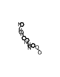 COCCOc1ccc2c(c1)ncn2-c1ccc2cc(N3CCN(Cc4ccccn4)CC3)ccc2n1